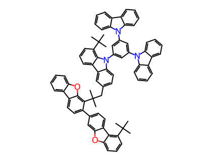 CC(C)(C)c1cccc2oc3cc(-c4ccc5c(oc6ccccc65)c4C(C)(C)Cc4ccc5c(c4)c4cccc(C(C)(C)C)c4n5-c4cc(-n5c6ccccc6c6ccccc65)cc(-n5c6ccccc6c6ccccc65)c4)ccc3c12